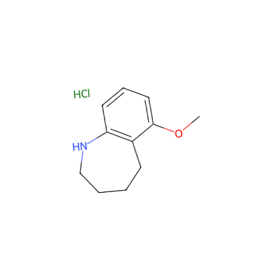 COc1cccc2c1CCCCN2.Cl